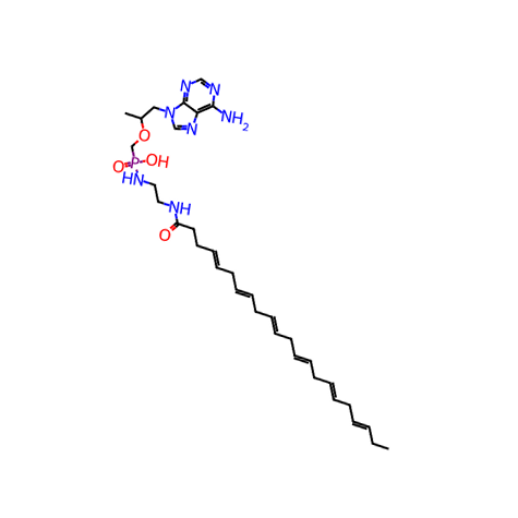 CCC=CCC=CCC=CCC=CCC=CCC=CCCC(=O)NCCNP(=O)(O)COC(C)Cn1cnc2c(N)ncnc21